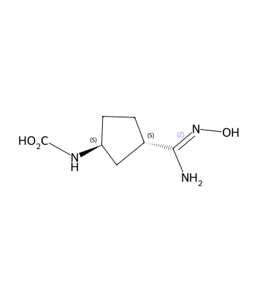 N/C(=N\O)[C@H]1CC[C@H](NC(=O)O)C1